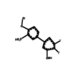 COc1cc(-c2ccc(OC(C)C)c(C(=O)O)c2)cc(F)c1F